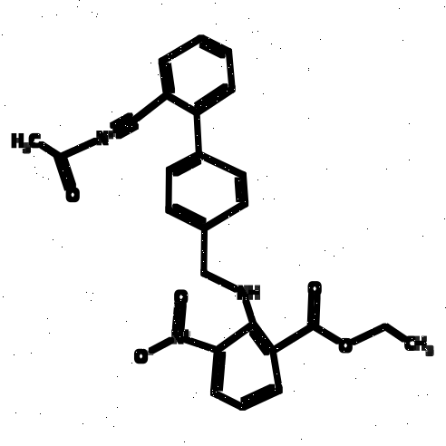 CCOC(=O)c1cccc([N+](=O)[O-])c1NCc1ccc(-c2ccccc2C#[N+]C(C)=O)cc1